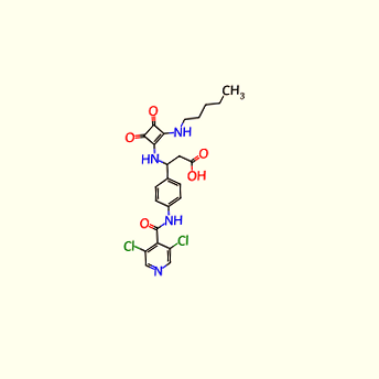 CCCCCNc1c(NC(CC(=O)O)c2ccc(NC(=O)c3c(Cl)cncc3Cl)cc2)c(=O)c1=O